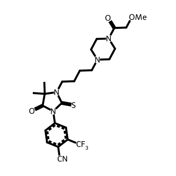 COCC(=O)N1CCN(CCCCN2C(=S)N(c3ccc(C#N)c(C(F)(F)F)c3)C(=O)C2(C)C)CC1